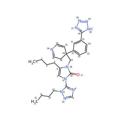 CCCCc1cn(-c2ncnn2CCCC)c(=O)n1CC1(c2cccc(-c3nnn[nH]3)c2)C=CN=CC1